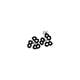 [O-2].c1ccc2[c]([Sn+]([c]3cccc4ccccc34)[c]3cccc4ccccc34)cccc2c1.c1ccc2[c]([Sn+]([c]3cccc4ccccc34)[c]3cccc4ccccc34)cccc2c1